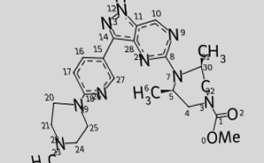 COC(=O)N1C[C@@H](C)N(c2ncc3[nH]nc(-c4ccc(N5CCN(C)CC5)nc4)c3n2)[C@@H](C)C1